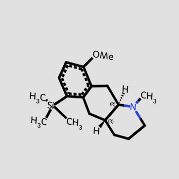 COc1ccc([Si](C)(C)C)c2c1C[C@@H]1[C@H](CCCN1C)C2